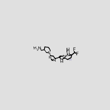 N=C(/C=C\c1ncc(-c2cc(N3CCCC(CN)C3)ncn2)[nH]1)C(F)F